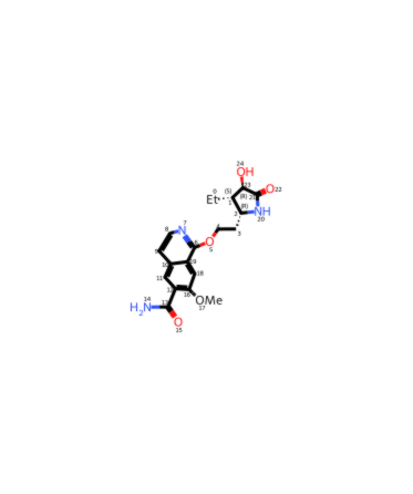 CC[C@H]1[C@@H](CCOc2nccc3cc(C(N)=O)c(OC)cc23)NC(=O)[C@@H]1O